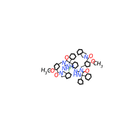 COc1ccc(CN2C(=O)C(c3ccccc3)(c3ccccc3)N/C2=N/c2cccc(C3(c4ccccc4)NC(=N)N(Cc4ccc(OC)c(C(=O)N5Cc6cccc(F)c6C5)c4)C3=O)c2)cc1C(=O)N1Cc2ccccc2C1